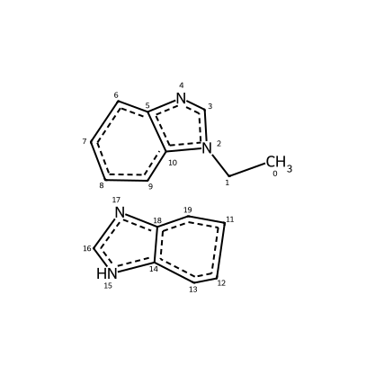 CCn1cnc2ccccc21.c1ccc2[nH]cnc2c1